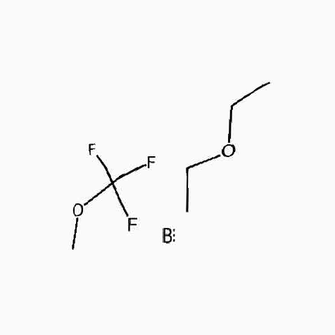 CCOCC.COC(F)(F)F.[B]